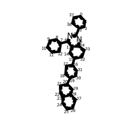 c1ccc(-c2nc(-c3ccccc3)c3cc(-c4ccc(-c5ccc6ccccc6c5)cc4)ccc3n2)cc1